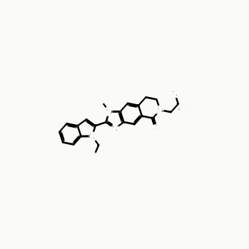 CC(C)Cn1c(-c2nc3cc4c(cc3n2C)CCN(C[C@@H](C)N)C4=O)cc2ccccc21